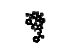 CC(C)C(=O)Nc1nc2c(ncn2C2SC(COC(=O)c3ccccc3)C(F)C2OC(=O)c2ccccc2)c(=O)[nH]1